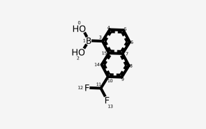 OB(O)c1cccc2ccc(C(F)F)cc12